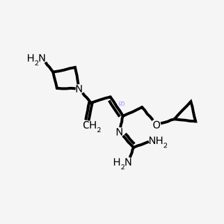 C=C(/C=C(/COC1CC1)N=C(N)N)N1CC(N)C1